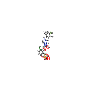 Cc1cc(CN2CCN(C(=O)COc3c(Cl)cccc3CS(=O)(=O)O)CC2)c(C)cc1F